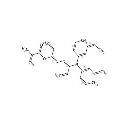 C=C/C=C(\C=C/C)N(/C(C=C)=C/C=C(\C=C)OC(=O)C(=C)C)C(/C=C\C)=C/C=C\C